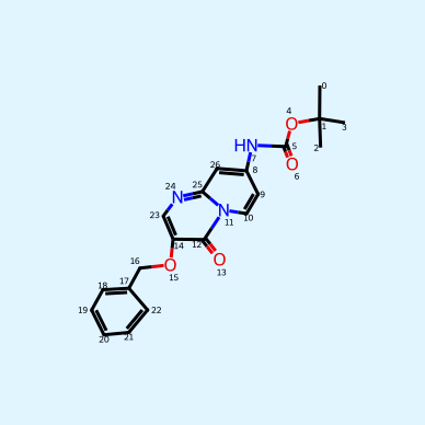 CC(C)(C)OC(=O)Nc1ccn2c(=O)c(OCc3ccccc3)cnc2c1